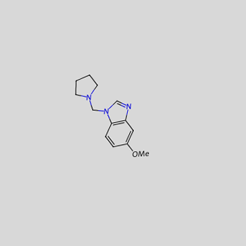 COc1ccc2c(c1)ncn2CN1CCCC1